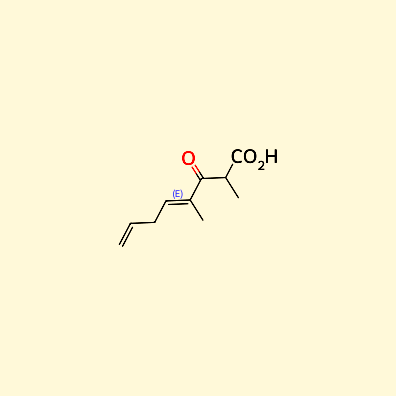 C=CC/C=C(\C)C(=O)C(C)C(=O)O